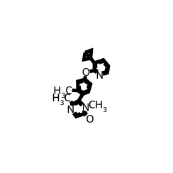 Cc1cc(Oc2ncccc2C23CC2C3)ccc1-c1c(C)ncc(=O)n1C